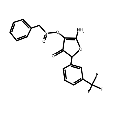 NC1=C(OS(=O)Cc2ccccc2)C(=O)C(c2cccc(C(F)(F)F)c2)O1